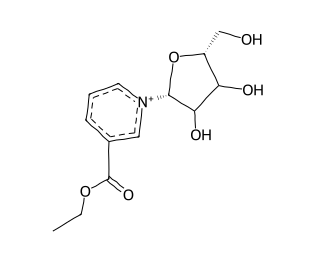 CCOC(=O)c1ccc[n+]([C@@H]2O[C@H](CO)C(O)C2O)c1